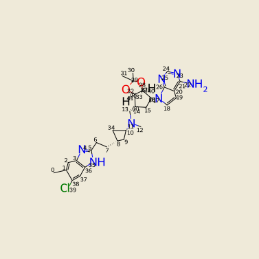 Cc1cc2nc(CC[C@H]3C[C@@H](N(C)C[C@H]4C[C@@H](n5ccc6c(N)ncnc65)[C@@H]5OC(C)(C)O[C@H]45)C3)[nH]c2cc1Cl